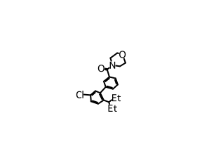 CCC(CC)c1ccc(Cl)cc1-c1cccc(C(=O)N2CCOCC2)c1